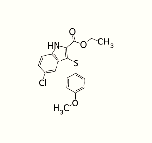 CCOC(=O)c1[nH]c2ccc(Cl)cc2c1Sc1ccc(OC)cc1